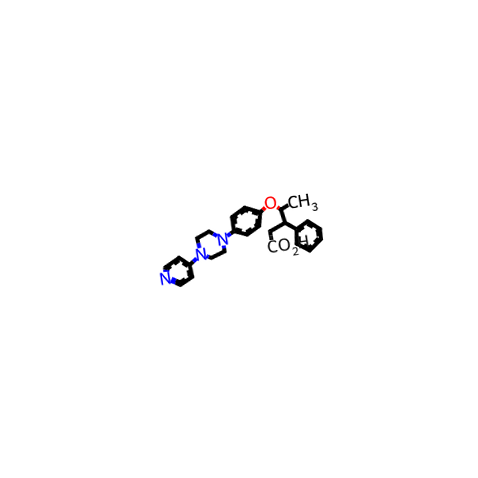 CC(Oc1ccc(N2CCN(c3ccncc3)CC2)cc1)C(CC(=O)O)c1ccccc1